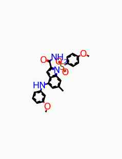 COc1ccc(S(=O)(=O)n2c(C(N)=O)cc3c(Nc4cccc(OC)c4)cc(C)cc32)cc1